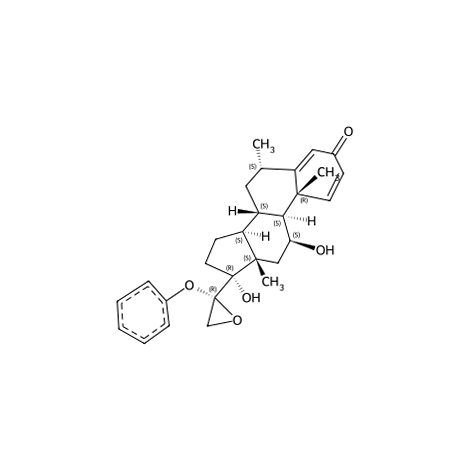 C[C@H]1C[C@@H]2[C@H]([C@@H](O)C[C@@]3(C)[C@H]2CC[C@]3(O)[C@]2(Oc3ccccc3)CO2)[C@@]2(C)C=CC(=O)C=C12